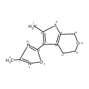 Cc1noc(-c2c(N)sc3c2CCOC3)n1